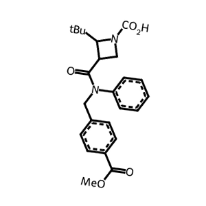 COC(=O)c1ccc(CN(C(=O)C2CN(C(=O)O)C2C(C)(C)C)c2ccccc2)cc1